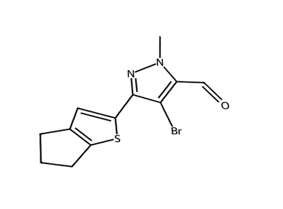 Cn1nc(-c2cc3c(s2)CCC3)c(Br)c1C=O